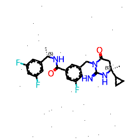 C[C@H](NC(=O)c1cc(F)cc(CN2C(=N)N[C@](C)(C3CC3)CC2=O)c1)c1cc(F)cc(F)c1